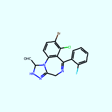 O=CC1NN=C2CN=C(c3ccccc3F)c3c(ccc(Br)c3Cl)N21